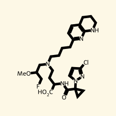 COC(CF)CN(CCCCc1ccc2c(n1)NCCC2)CCC(NC(=O)C1(n2ccc(Cl)n2)CC1)C(=O)O